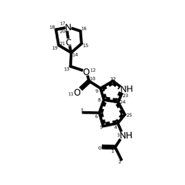 C=C(C)Nc1cc(C)c2c(C(=O)OCC34CCN(CC3)CC4)c[nH]c2c1